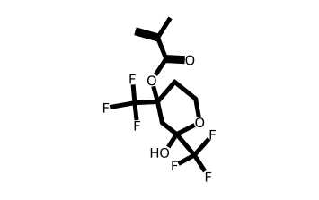 C=C(C)C(=O)OC1(C(F)(F)F)CCOC(O)(C(F)(F)F)C1